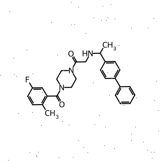 Cc1ccc(F)cc1C(=O)N1CCN(C(=O)CNC(C)c2ccc(-c3ccccc3)cc2)CC1